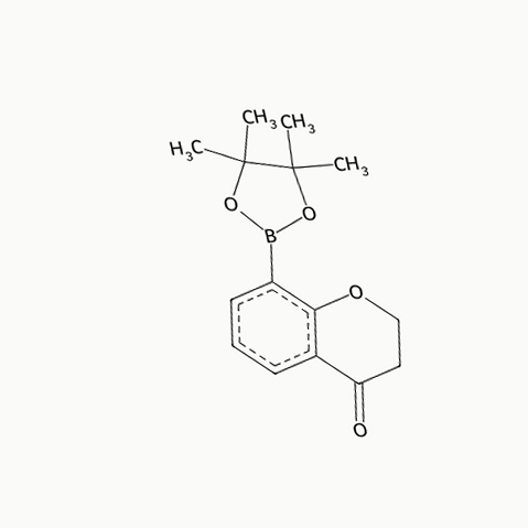 CC1(C)OB(c2cccc3c2OCCC3=O)OC1(C)C